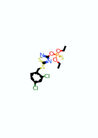 CCOP(=S)(OCC)Oc1nsc(SCc2ccc(Cl)cc2Cl)n1